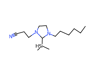 CCCCCCN1CCN(CCC#N)C1[SiH](C)C